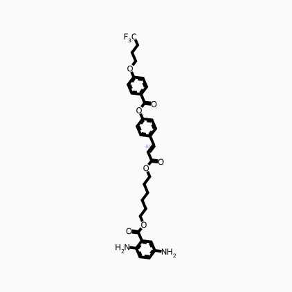 Nc1ccc(N)c(C(=O)OCCCCCCOC(=O)/C=C/c2ccc(OC(=O)c3ccc(OCCCC(F)(F)F)cc3)cc2)c1